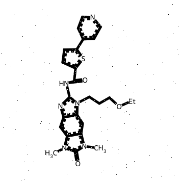 CCOCCCn1c(NC(=O)c2ccc(-c3ccncc3)s2)nc2cc3c(cc21)n(C)c(=O)n3C